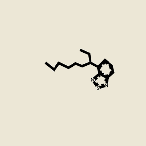 CCCCCCC(CC)c1cccc2nsnc12